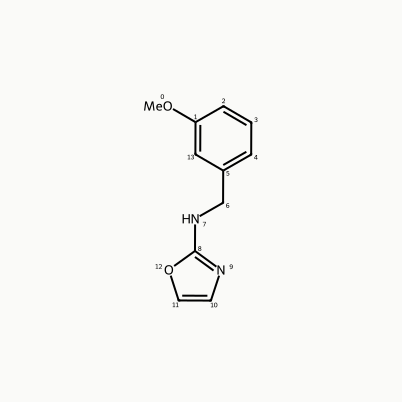 COc1cccc(CNc2ncco2)c1